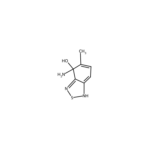 CC1=CC=C2NSN=C2C1(N)O